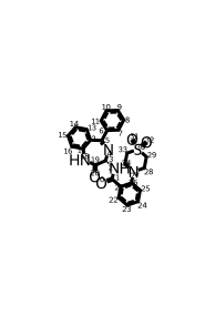 O=C(N[C@H]1N=C(c2ccccc2)c2ccccc2NC1=O)c1ccccc1N1CCS(=O)(=O)CC1